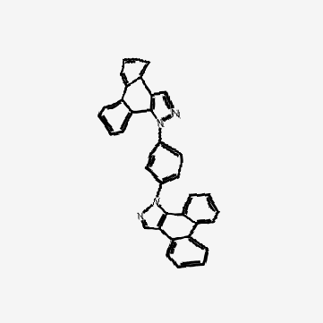 c1ccc2c(c1)c1ccccc1c1c2cnn1-c1ccc(-n2ncc3c4ccccc4c4ccccc4c32)cc1